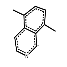 Cc1ccc(C)c2ccn[c]c12